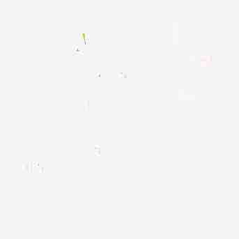 NC1CN(c2c(F)cc3c(=O)c(C(=O)O)cn([C@@H]4C[C@H]4F)c3c2Cl)CC12CCC2